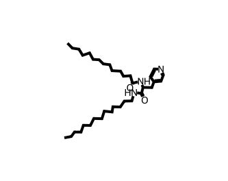 CCCCCCCCCCCCCCNC(=O)C(Cc1ccncc1)NC(=O)CCCCCCCCCCCCC